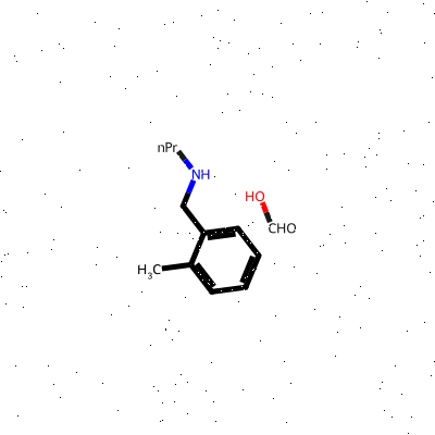 CCCNCc1ccccc1C.O=CO